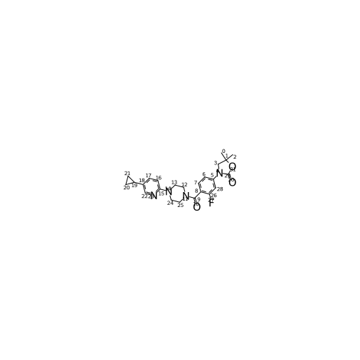 CC1(C)CN(c2ccc(C(=O)N3CCN(c4ccc(C5CC5)cn4)CC3)c(F)c2)C(=O)O1